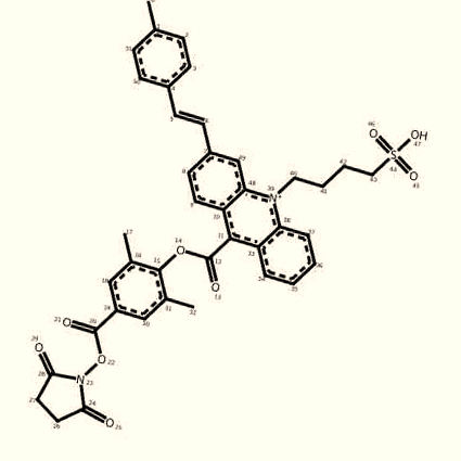 Cc1ccc(/C=C/c2ccc3c(C(=O)Oc4c(C)cc(C(=O)ON5C(=O)CCC5=O)cc4C)c4ccccc4[n+](CCCCS(=O)(=O)O)c3c2)cc1